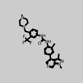 Cc1cc(-c2cncc3c2c(C)nn3C)ccc1NC(=O)Nc1ccc(CN2CCN(C)CC2)c(C(F)(F)F)c1